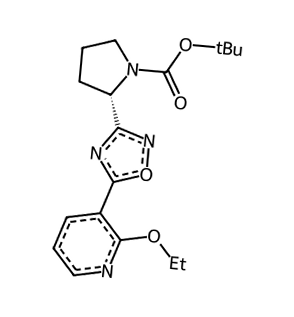 CCOc1ncccc1-c1nc([C@@H]2CCCN2C(=O)OC(C)(C)C)no1